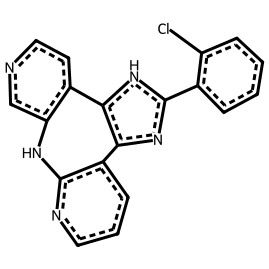 Clc1ccccc1-c1nc2c([nH]1)-c1ccncc1Nc1ncccc1-2